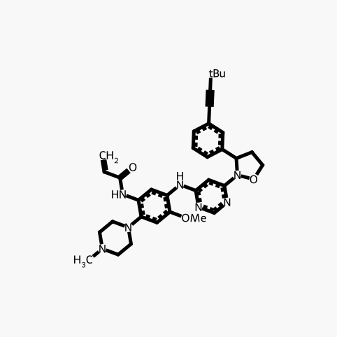 C=CC(=O)Nc1cc(Nc2cc(N3OCCC3c3cccc(C#CC(C)(C)C)c3)ncn2)c(OC)cc1N1CCN(C)CC1